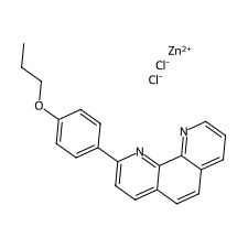 CCCOc1ccc(-c2ccc3ccc4cccnc4c3n2)cc1.[Cl-].[Cl-].[Zn+2]